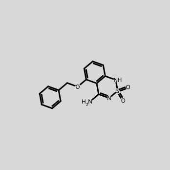 NC1=NS(=O)(=O)Nc2cccc(OCc3ccccc3)c21